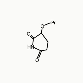 CC(C)OC1CCC(=O)NC1=O